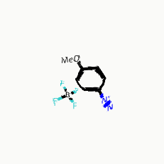 COc1ccc([N+]#N)cc1.F[B-](F)(F)F